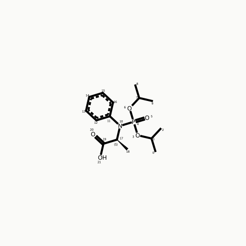 CC(C)OP(=O)(OC(C)C)N(c1ccccc1)[C@@H](C)C(=O)O